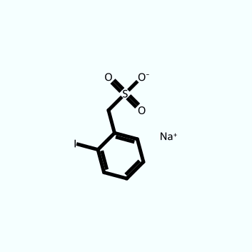 O=S(=O)([O-])Cc1ccccc1I.[Na+]